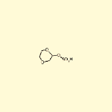 O=S(=O)(O)OC1COCCO1